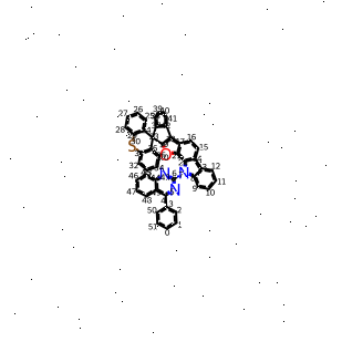 c1ccc(-c2nc(-n3c4ccccc4c4ccc5c6c(oc5c43)C3(c4ccccc4Sc4ccccc43)c3ccccc3-6)nc3ccccc23)cc1